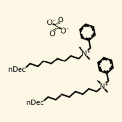 CCCCCCCCCCCCCCCCCC[N+](C)(C)Cc1ccccc1.CCCCCCCCCCCCCCCCCC[N+](C)(C)Cc1ccccc1.O=S(=O)([O-])[O-]